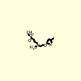 CCOC(=O)/C=C/CN(C)CCOc1ccc(I)cn1